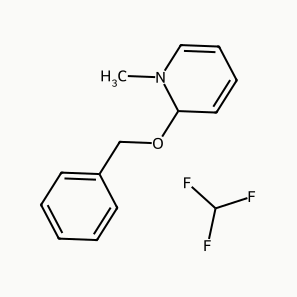 CN1C=CC=CC1OCc1ccccc1.FC(F)F